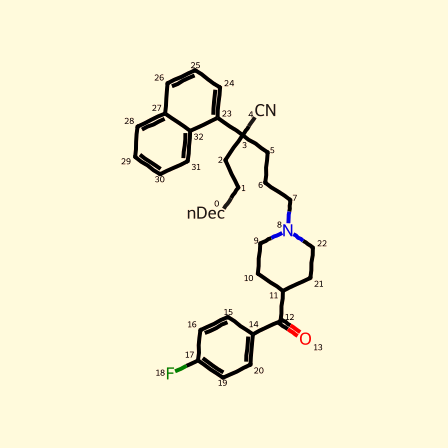 CCCCCCCCCCCCC(C#N)(CCCN1CCC(C(=O)c2ccc(F)cc2)CC1)c1cccc2ccccc12